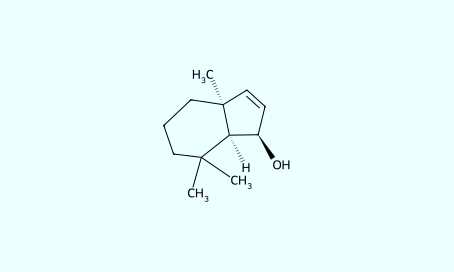 CC1(C)CCC[C@@]2(C)C=C[C@@H](O)[C@@H]12